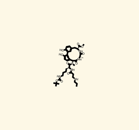 CCCNCCC(=O)N[C@@H](CCCCNC(=O)OC(C)(C)C)C(=O)N(C)[C@@H]1C(=O)N[C@@H](C)C(=O)N[C@H](C(=O)OC)Cc2ccc(O)c(c2)-c2cc1ccc2O